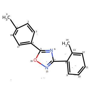 Cc1ccc(-c2nc(-c3ccccc3C)no2)cc1